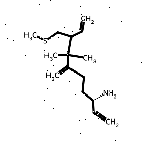 C=CC(CSC)C(C)(C)C(=C)CC[C@H](N)C=C